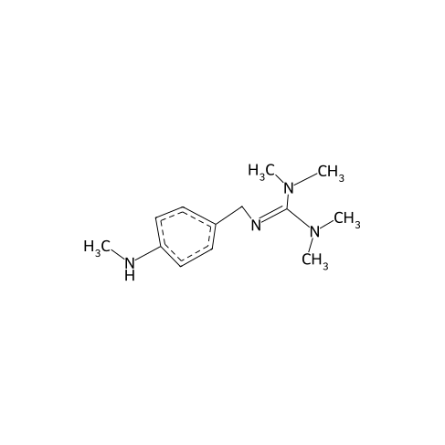 CNc1ccc(CN=C(N(C)C)N(C)C)cc1